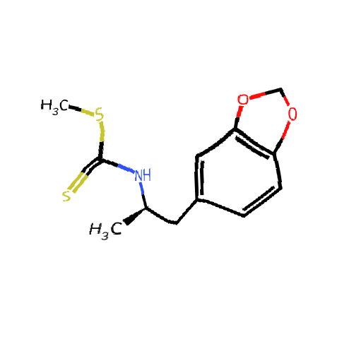 CSC(=S)N[C@H](C)Cc1ccc2c(c1)OCO2